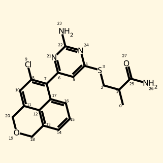 CC(CSc1cc(-c2c(Cl)cc3c4c(cccc24)COC3)nc(N)n1)C(N)=O